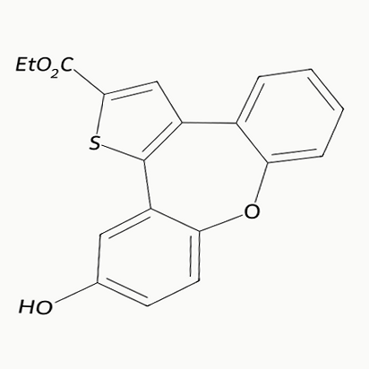 CCOC(=O)c1cc2c(s1)-c1cc(O)ccc1Oc1ccccc1-2